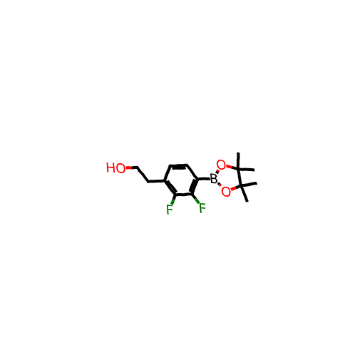 CC1(C)OB(c2ccc(CCO)c(F)c2F)OC1(C)C